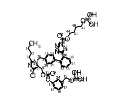 CCCCc1nc(Cl)c(COC(=O)Oc2cccc(CON(O)O)c2)n1Cc1ccc(-c2ccccc2-c2nnn(C(=O)OCCCCON(O)O)n2)cc1